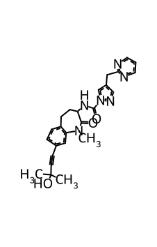 CN1C(=O)C(NC(=O)n2cc(Cc3ncccn3)cn2)CCc2ccc(C#CC(C)(C)O)cc21